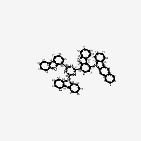 c1ccc2cc3c(cc2c1)c1ccccc1n3-c1ccc(-c2nc(-c3cccc4c3oc3ccccc34)nc(-n3c4ccccc4c4ccccc43)n2)c2oc3ccccc3c12